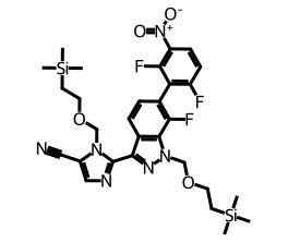 C[Si](C)(C)CCOCn1c(C#N)cnc1-c1nn(COCC[Si](C)(C)C)c2c(F)c(-c3c(F)ccc([N+](=O)[O-])c3F)ccc12